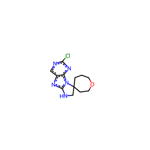 Clc1ncc2nc3n(c2n1)C1(CCCOCC1)CN3